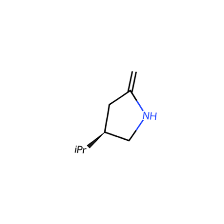 C=C1C[C@H](C(C)C)CN1